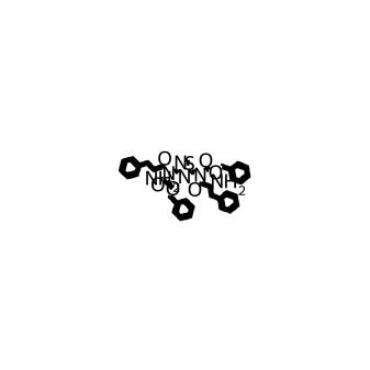 N[C@@H](Cc1ccccc1)C(=O)N(C(=O)OCc1ccccc1)c1nsc(N(C(=O)OCc2ccccc2)C(=O)[C@@H](N)Cc2ccccc2)n1